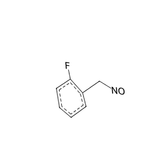 O=NCc1ccccc1F